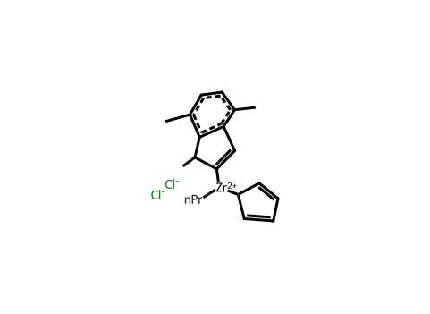 CC[CH2][Zr+2]([C]1=Cc2c(C)ccc(C)c2C1C)[CH]1C=CC=C1.[Cl-].[Cl-]